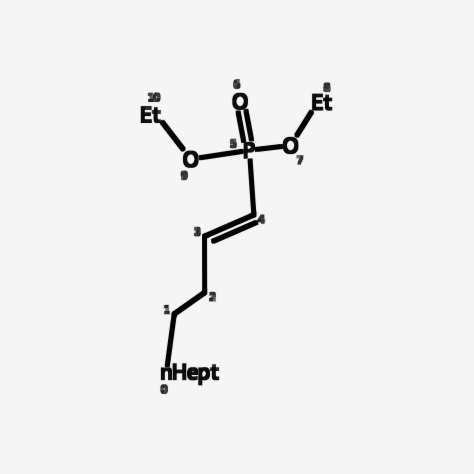 CCCCCCCCCC=CP(=O)(OCC)OCC